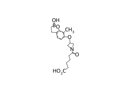 Cc1c(OC2CN(C(=O)CCCCC(=O)O)C2)ccc2c1OB(O)CC2